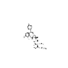 COc1cc(F)ccc1[C@H](c1ccc(C)cc1)[C@H](C)OC[C@@](C)(C=O)NC(=S)c1nccc(OC)c1OC(C)=O